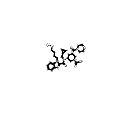 COCCCCn1c(C(=O)N(CC2CC2)[C@H]2C[C@@H](C(=O)N3CCOCC3)CN(C(=O)O)C2)nc2ccccc21